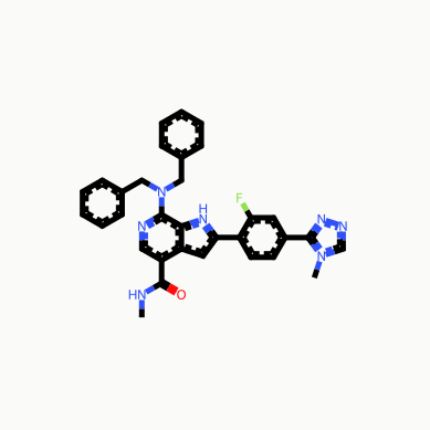 CNC(=O)c1cnc(N(Cc2ccccc2)Cc2ccccc2)c2[nH]c(-c3ccc(-c4nncn4C)cc3F)cc12